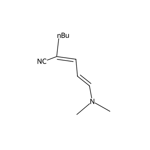 CCCCC(C#N)=CC=CN(C)C